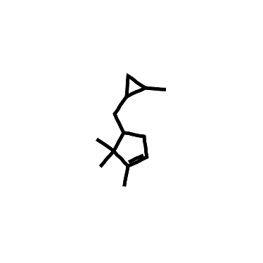 CC1=CCC(CC2CC2C)C1(C)C